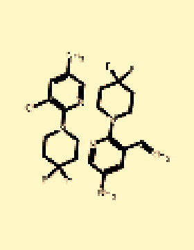 C=Cc1cc(N)cnc1N1CCC(F)(F)CC1.Nc1cnc(N2CCC(F)(F)CC2)c(Cl)c1